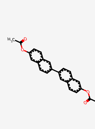 CC(=O)Oc1ccc2cc(-c3ccc4cc(OC(C)=O)ccc4c3)ccc2c1